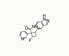 NC(=O)C1(c2cccnc2)C(F)CC1c1ccc2[nH]ncc2c1